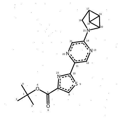 CC(C)(C)OC(=O)c1csc(-c2cnc(N3CC4C5C4C53)cn2)n1